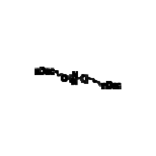 CCCCCCCCCCCCCCc1ccc(-c2ncc(OCCCCCCCCCCCCC)cn2)cc1